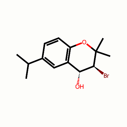 CC(C)c1ccc2c(c1)[C@@H](O)[C@H](Br)C(C)(C)O2